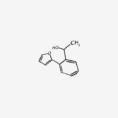 CC(O)c1ccccc1-c1ccco1